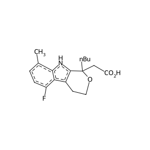 CCCCC1(CC(=O)O)OCCc2c1[nH]c1c(C)ccc(F)c21